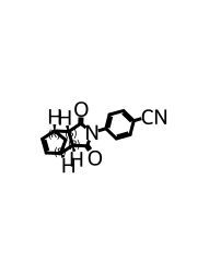 N#Cc1ccc(N2C(=O)[C@@H]3[C@H](C2=O)[C@@H]2C=C[C@H]3C2)cc1